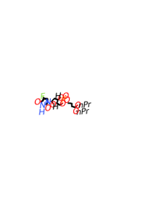 CCCOC(CCCOP1(=O)OC[C@H]2O[C@@H](n3cc(F)c(=O)[nH]c3=O)C[C@@H]2O1)OCCC